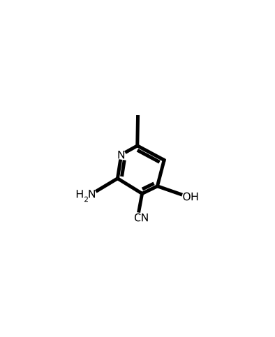 Cc1cc(O)c(C#N)c(N)n1